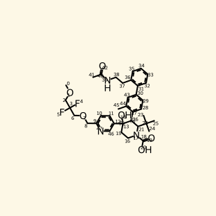 COCC(F)(F)COCc1ccc([C@@]2(O)CCN(C(=O)O)C(C(C)(C)C)[C@@H]2c2ccc(-c3ccccc3CCNC(C)=O)cc2C)cn1